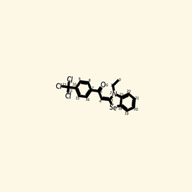 CCN1C(=CC(=O)c2ccc(C(Cl)(Cl)Cl)cc2)[Se]c2ccccc21